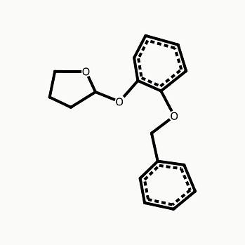 c1ccc(COc2ccccc2OC2CCCO2)cc1